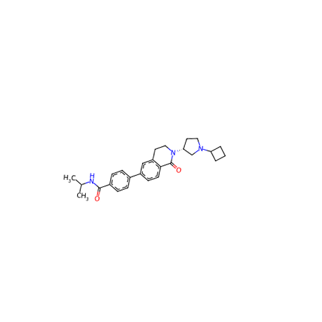 CC(C)NC(=O)c1ccc(-c2ccc3c(c2)CCN([C@@H]2CCN(C4CCC4)C2)C3=O)cc1